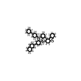 C[Si]1(C)c2ccc3sc4ccccc4c3c2-c2cccc(N(c3ccc(-c4ccccc4)cc3)c3cccc(-c4ccc5ccccc5c4)c3)c21